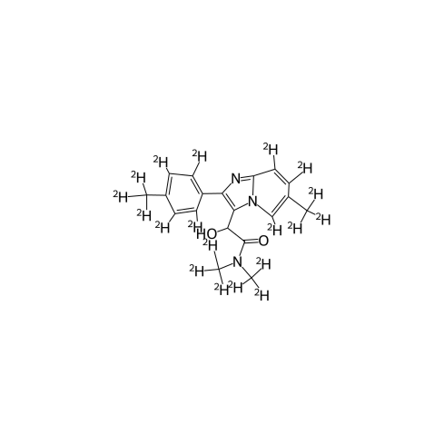 [2H]c1c([2H])c(C([2H])([2H])[2H])c([2H])c([2H])c1-c1nc2c([2H])c([2H])c(C([2H])([2H])[2H])c([2H])n2c1C(O)C(=O)N(C([2H])([2H])[2H])C([2H])([2H])[2H]